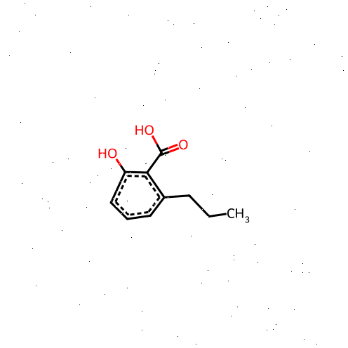 CCCc1cccc(O)c1C(=O)O